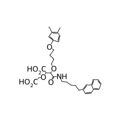 Cc1ccc(OCCCCOC(C(=O)NCCCCCc2ccc3ccccc3c2)C(OCC(=O)O)C(=O)O)cc1C